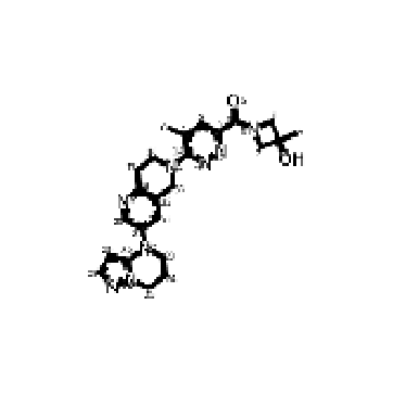 Cc1cc(C(=O)N2CC(C)(O)C2)nnc1N1CCc2ncc(N3CCCn4nccc43)cc2C1